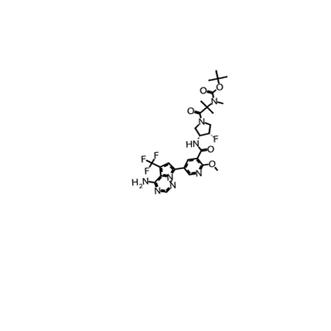 COc1ncc(-c2cc(C(F)(F)F)c3c(N)ncnn23)cc1C(=O)N[C@@H]1CN(C(=O)C(C)(C)N(C)C(=O)OC(C)(C)C)C[C@@H]1F